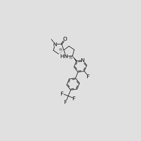 CN1CC[C@@]2(CC[C@@H](c3cc(-c4ccc(C(F)(F)F)cc4)c(F)cn3)N2)C1=O